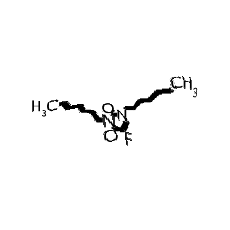 CCCCCCCn1cc(F)c(=O)n(CCCCCCC)c1=O